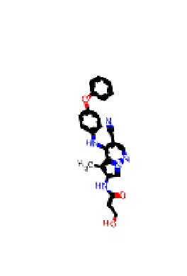 Cc1c(NC(=O)CCO)cn2ncc(C#N)c(Nc3ccc(Oc4ccccc4)cc3)c12